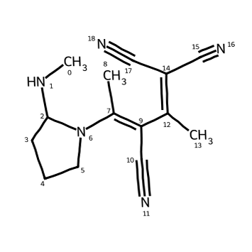 CNC1CCCN1/C(C)=C(\C#N)C(C)=C(C#N)C#N